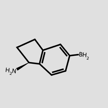 Bc1ccc2c(c1)CC[C@@H]2N